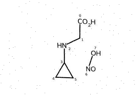 O=C(O)CNC1CC1.O=NO